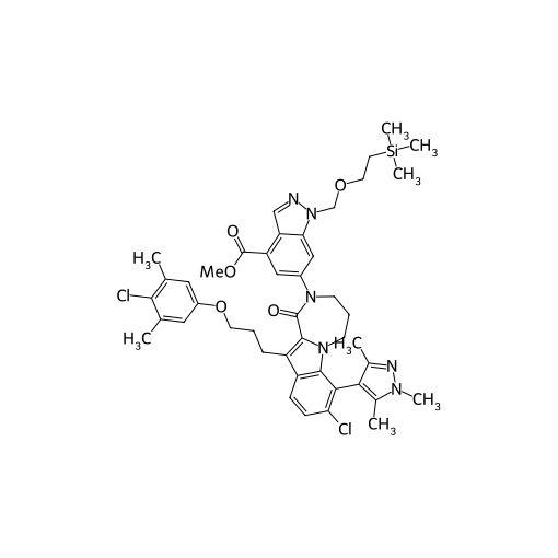 COC(=O)c1cc(N2CCCn3c(c(CCCOc4cc(C)c(Cl)c(C)c4)c4ccc(Cl)c(-c5c(C)nn(C)c5C)c43)C2=O)cc2c1cnn2COCC[Si](C)(C)C